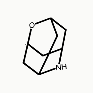 C1[C]2CC3CC(CC1N3)O2